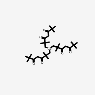 CC(C)(C)C(=O)CC(=O)C(C)(C)[CH2][Ga]([CH2]C(C)(C)C(=O)CC(=O)C(C)(C)C)[CH2]C(C)(C)C(=O)CC(=O)C(C)(C)C